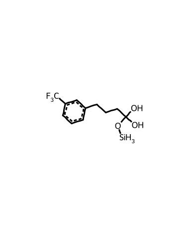 OC(O)(CCCc1cccc(C(F)(F)F)c1)O[SiH3]